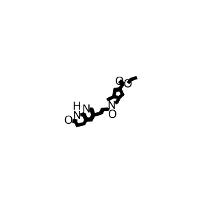 CCOC(=O)C1=CC2CN(C(=O)/C=C/c3cnc4c(c3)CCC(=O)N4)CC2C1